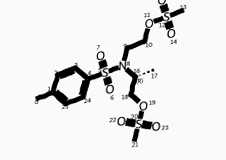 Cc1ccc(S(=O)(=O)N(CCOS(C)(=O)=O)[C@H](C)COS(C)(=O)=O)cc1